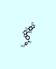 COc1cc2[nH]ncc2cc1Nc1ncnc2sc3c(c12)CC[C@H](C(=O)N1CC(O)C1)C3